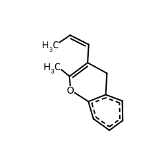 C/C=C\C1=C(C)Oc2ccccc2C1